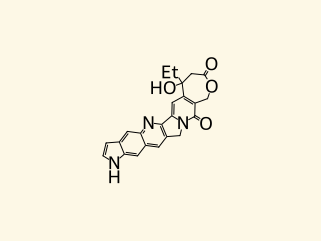 CCC1(O)CC(=O)OCc2c1cc1n(c2=O)Cc2cc3cc4[nH]ccc4cc3nc2-1